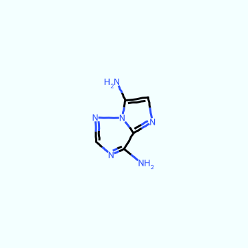 Nc1ncnn2c(N)cnc12